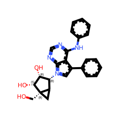 OC[C@@]12CC1[C@@H](n1cc(-c3ccccc3)c3c(Nc4ccccc4)ncnc31)[C@@H](O)[C@H]2O